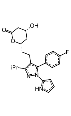 CC(C)c1nn(-c2ccc[nH]2)c(-c2ccc(F)cc2)c1CC[C@H]1C[C@@H](O)CC(=O)O1